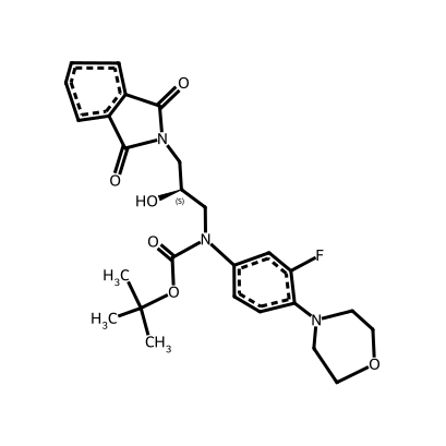 CC(C)(C)OC(=O)N(C[C@@H](O)CN1C(=O)c2ccccc2C1=O)c1ccc(N2CCOCC2)c(F)c1